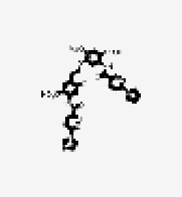 COc1cc(C(=O)O)c(NC(=O)c2ccc(-n3cccc3)nn2)cc1OCCc1cc(C(=O)O)c(NC(=O)c2ccc(-n3ccnc3)nn2)cc1Cl